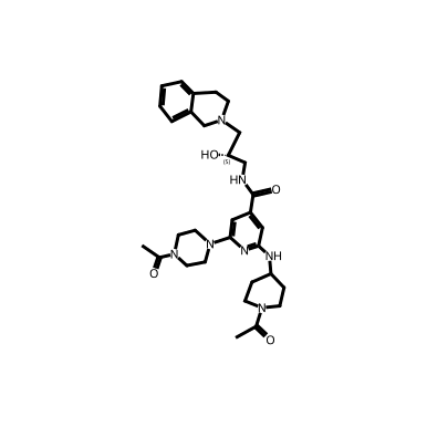 CC(=O)N1CCC(Nc2cc(C(=O)NC[C@H](O)CN3CCc4ccccc4C3)cc(N3CCN(C(C)=O)CC3)n2)CC1